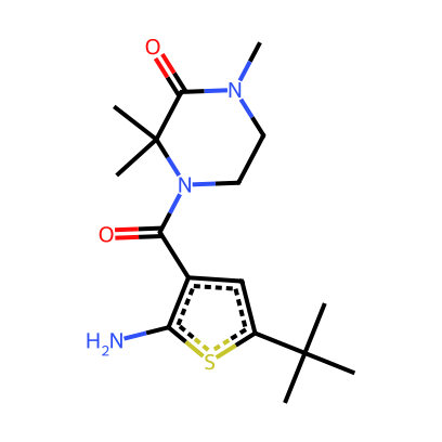 CN1CCN(C(=O)c2cc(C(C)(C)C)sc2N)C(C)(C)C1=O